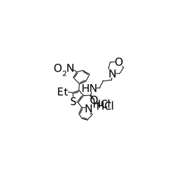 CCc1sc(-c2ccccn2)c(C(=O)NCCCN2CCOCC2)c1-c1cccc([N+](=O)[O-])c1.Cl.Cl